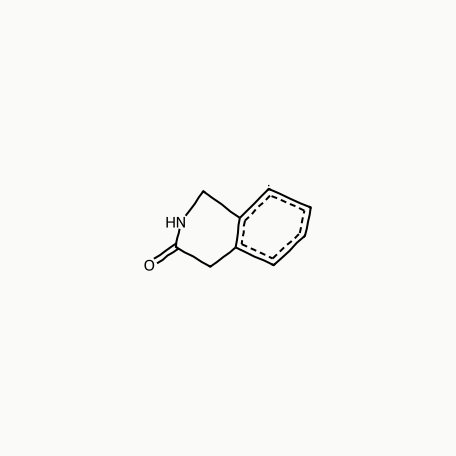 O=C1Cc2ccc[c]c2CN1